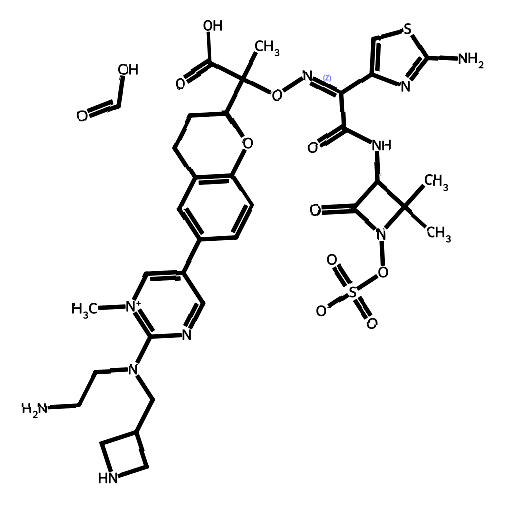 C[n+]1cc(-c2ccc3c(c2)CCC(C(C)(O/N=C(\C(=O)NC2C(=O)N(OS(=O)(=O)[O-])C2(C)C)c2csc(N)n2)C(=O)O)O3)cnc1N(CCN)CC1CNC1.O=CO